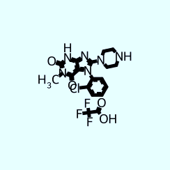 Cn1c(=O)[nH]c2nc(N3CCNCC3)n(-c3ccccc3Cl)c2c1=O.O=C(O)C(F)(F)F